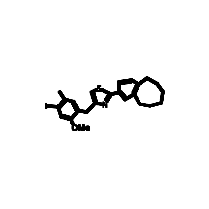 COc1cc(I)c(C)cc1Cc1csc(-c2ccc3c(c2)CCCCCC3)n1